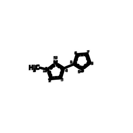 Cn1[c]cc(-c2cccs2)n1